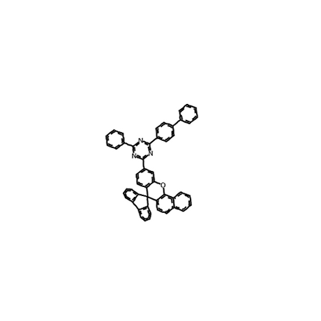 c1ccc(-c2ccc(-c3nc(-c4ccccc4)nc(-c4ccc5c(c4)Oc4c(ccc6ccccc46)C54c5ccccc5-c5ccccc54)n3)cc2)cc1